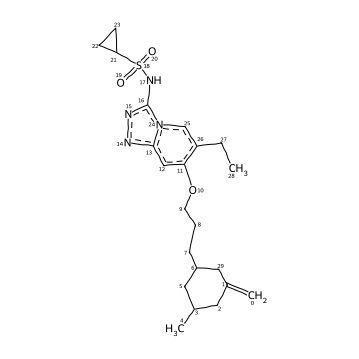 C=C1CC(C)CC(CCCOc2cc3nnc(NS(=O)(=O)C4CC4)n3cc2CC)C1